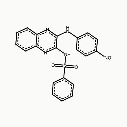 O=Nc1ccc(Nc2nc3ccccc3nc2NS(=O)(=O)c2ccccc2)cc1